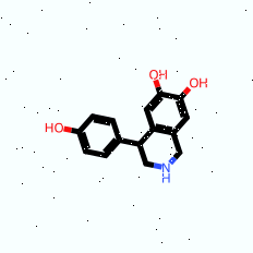 Oc1ccc(C2CNCc3cc(O)c(O)cc32)cc1